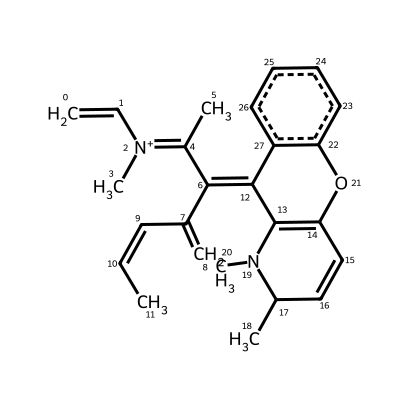 C=C/[N+](C)=C(C)/C(C(=C)/C=C\C)=C1/C2=C(C=CC(C)N2C)Oc2ccccc21